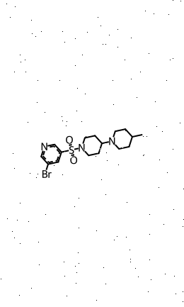 CC1CCN(C2CCN(S(=O)(=O)c3cncc(Br)c3)CC2)CC1